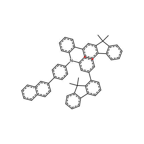 CC1(C)c2ccccc2-c2ccc(-c3ccccc3N(c3ccc(-c4ccc5ccccc5c4)cc3)c3cccc(-c4cccc5c4C(C)(C)c4ccccc4-5)c3)cc21